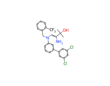 CC(C)(O)/C(N)=C/N(Cc1ccccc1C(F)(F)F)c1cccc(-c2cc(Cl)cc(Cl)c2)c1